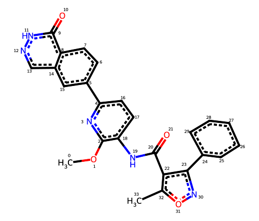 COc1nc(-c2ccc3c(=O)[nH]ncc3c2)ccc1NC(=O)c1c(-c2ccccc2)noc1C